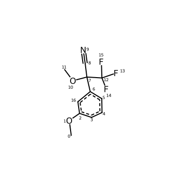 COc1cccc(C(C#N)(OC)C(F)(F)F)c1